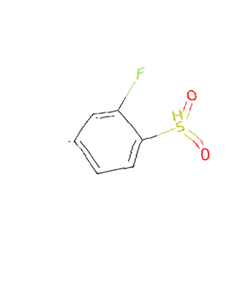 O=[SH](=O)c1cc[c]cc1F